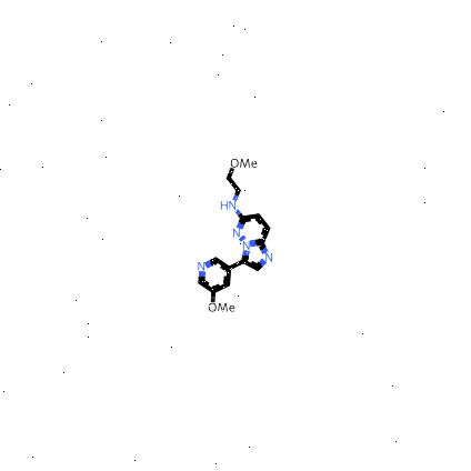 COCCNc1ccc2ncc(-c3cncc(OC)c3)n2n1